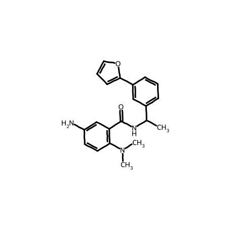 CC(NC(=O)c1cc(N)ccc1N(C)C)c1cccc(-c2ccco2)c1